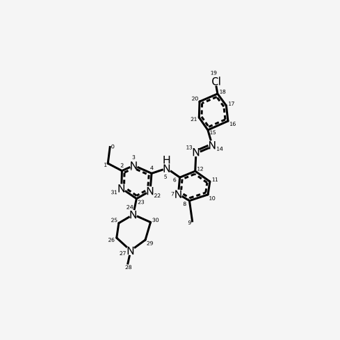 CCc1nc(Nc2nc(C)ccc2/N=N/c2ccc(Cl)cc2)nc(N2CCN(C)CC2)n1